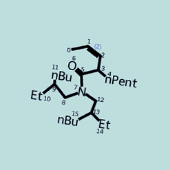 C/C=C\C(CCCCC)C(=O)N(CC(CC)CCCC)CC(CC)CCCC